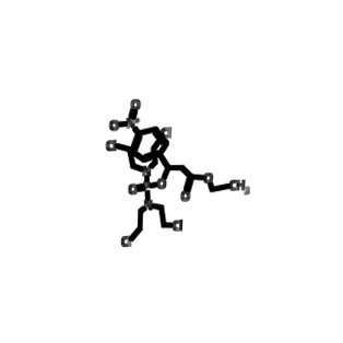 CCOC(=O)CC(OP(=O)(N(CCCl)CCCl)N(CCCl)CCCl)c1ccc([N+](=O)[O-])cc1